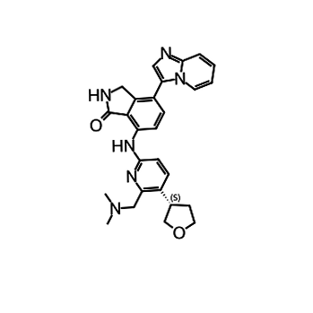 CN(C)Cc1nc(Nc2ccc(-c3cnc4ccccn34)c3c2C(=O)NC3)ccc1[C@@H]1CCOC1